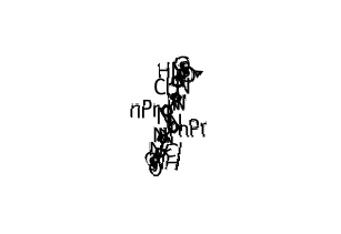 CCCc1cc(-n2cc(-c3ncc(NS(C)(=O)=O)cc3Cl)cn2)cc(-c2cc(-n3cc(-c4ncc(NS(=O)(=O)CC5CC5)cc4Cl)cn3)cc(CCC)n2)n1